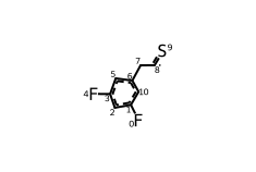 Fc1cc(F)cc(C[C]=S)c1